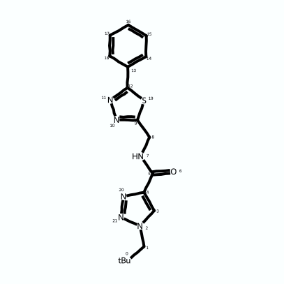 CC(C)(C)Cn1cc(C(=O)NCc2nnc(-c3ccccc3)s2)nn1